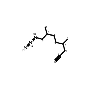 C#CCC(C)CCC(C)CN=[N+]=[N-]